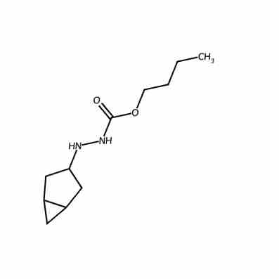 CCCCOC(=O)NNC1CC2CC2C1